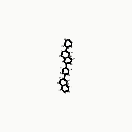 c1ccc(-c2ccc3cc(-c4ccc(-c5ccc6ccccc6c5)cc4)ccc3c2)cc1